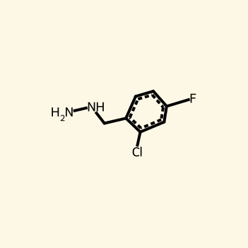 NNCc1ccc(F)cc1Cl